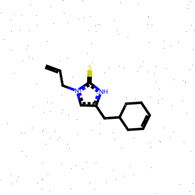 C=CCn1cc(CC2CC=CCC2)[nH]c1=S